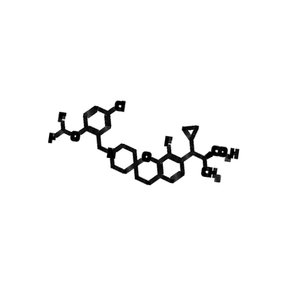 C[C@H](C(=O)O)C(c1ccc2c(c1F)OC1(CC2)CCN(Cc2cc(Cl)ccc2OC(F)F)CC1)C1CC1